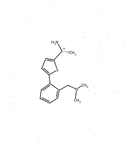 C[C@@H](N)c1ccc(-c2ccccc2CN(C)C)s1